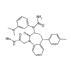 Cc1ccc(C2CC(N(C(N)=O)c3cccc(N(C)C)c3)C(=O)N(CC(=O)NC(C)(C)C)c3ccccc32)cc1